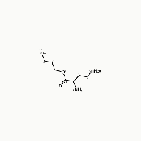 CCCCCCCCC(N)C(=O)OCCCO